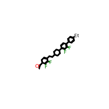 CCc1ccc(-c2ccc(C3CCC(CCC4=CCC(C5CO5)C(F)=C4F)CC3)c(F)c2F)cc1